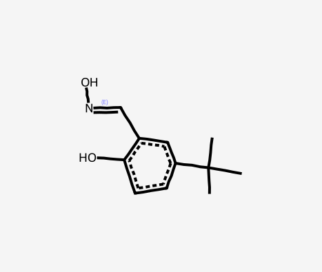 CC(C)(C)c1ccc(O)c(/C=N/O)c1